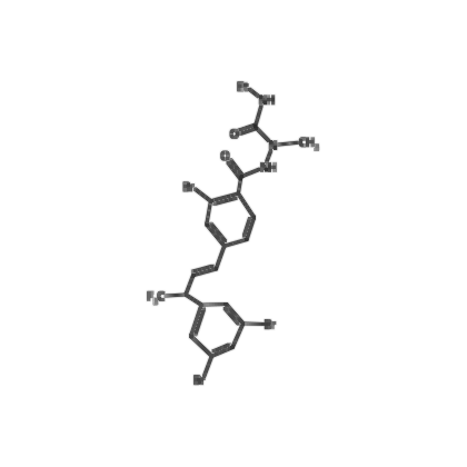 CCNC(=O)N(C)NC(=O)c1ccc(/C=C/C(c2cc(Br)cc(Br)c2)C(F)(F)F)cc1Br